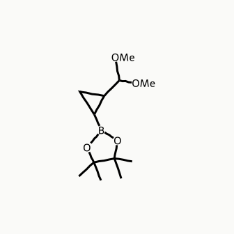 COC(OC)C1CC1B1OC(C)(C)C(C)(C)O1